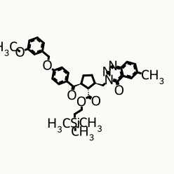 COc1cccc(COc2ccc(C(=O)[C@H]3CC[C@@H](Cn4nnc5ccc(C)cc5c4=O)[C@@H]3C(=O)OCC[Si](C)(C)C)cc2)c1